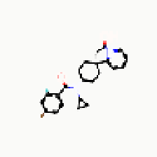 O=C(c1ccc(Br)cc1F)N(C1CC1)[C@H]1CC[C@](CCO)(c2ccccn2)CC1